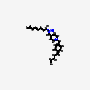 CCCCCCC[C@H](C)NCC1CCN(Cc2ccc(CCCCC)cc2)CC1